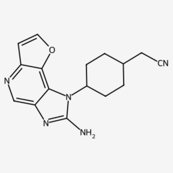 N#CCC1CCC(n2c(N)nc3cnc4ccoc4c32)CC1